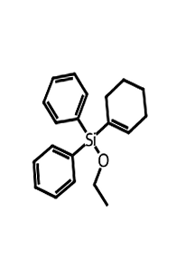 CCO[Si](C1=CCCCC1)(c1ccccc1)c1ccccc1